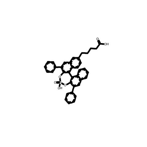 O=C(O)CCCCc1ccc2c3c(c(-c4ccccc4)cc2c1)OP(=O)(O)Oc1c(-c2ccccc2)cc2ccccc2c1-3